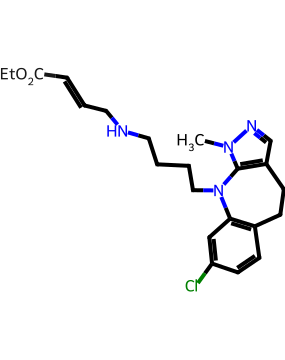 CCOC(=O)/C=C/CNCCCCN1c2cc(Cl)ccc2CCc2cnn(C)c21